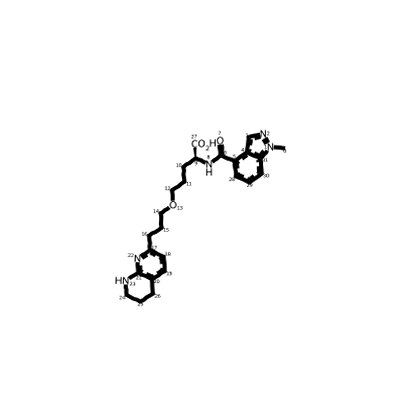 Cn1ncc2c(C(=O)N[C@@H](CCCOCCCc3ccc4c(n3)NCCC4)C(=O)O)cccc21